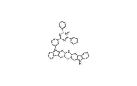 C=N/C(=N\C(=N/Cc1ccccc1)c1cccc(-n2c3ccccc3c3cc4c(cc32)Sc2cc3c(cc2S4)[nH]c2ccccc23)c1)c1ccccc1